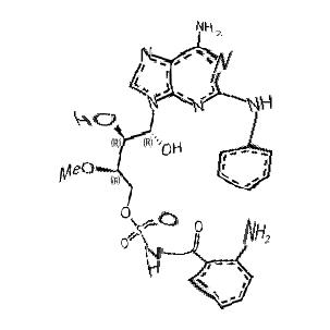 CO[C@H](COS(=O)(=O)NC(=O)c1ccccc1N)[C@@H](O)[C@@H](O)n1cnc2c(N)nc(Nc3ccccc3)nc21